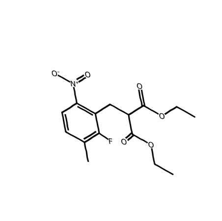 CCOC(=O)C(Cc1c([N+](=O)[O-])ccc(C)c1F)C(=O)OCC